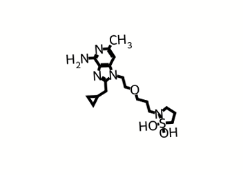 Cc1cc2c(nc(CC3CC3)n2CCOCCCN2CCCS2(O)O)c(N)n1